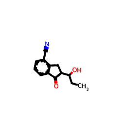 CCC(O)C1Cc2c(C#N)cccc2C1=O